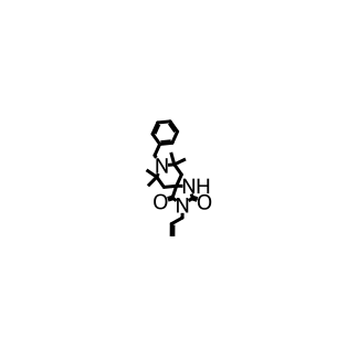 C=CCN1C(=O)NC2(CC(C)(C)N(Cc3ccccc3)C(C)(C)C2)C1=O